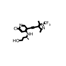 Cc1nn(C(F)(F)F)c(C)c1C#Cc1cnc(Cl)cc1N[C@@H](C)CCO